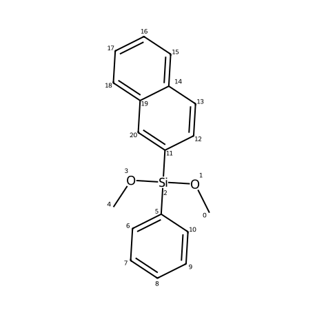 CO[Si](OC)(c1ccccc1)c1ccc2ccccc2c1